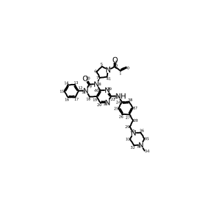 C=CC(=O)N1CC[C@H](N2C(=O)N(c3ccccc3)Cc3cnc(Nc4ccc(CCN5CCN(C)CC5)cc4)nc32)C1